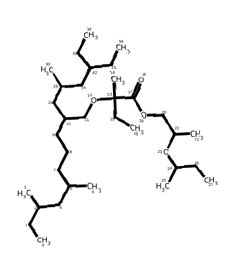 CCC(C)CC(C)CCCC(COC(C)(CC)C(=O)OCC(C)OC(C)CC)CC(C)CC(CC)CC